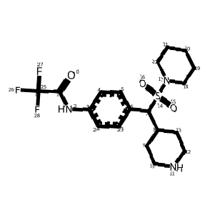 O=C(Nc1ccc(C(C2CCNCC2)S(=O)(=O)N2CCCCC2)cc1)C(F)(F)F